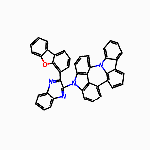 c1ccc2nc(-n3c4cccc5c6cccc7c8ccccc8n(c8cccc3c8c54)c67)c(-c3cccc4c3oc3ccccc34)nc2c1